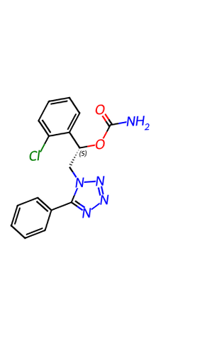 NC(=O)O[C@H](Cn1nnnc1-c1ccccc1)c1ccccc1Cl